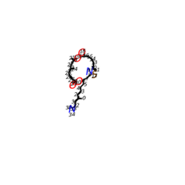 CC(/C=C/CCC1Cc2nc(cs2)CCCCC(=O)OC(C)C/C(C)=C/C=C\C(=O)O1)=C\CN(C)C